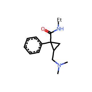 CCNC(=O)C1(c2ccccc2)CC1CN(C)C